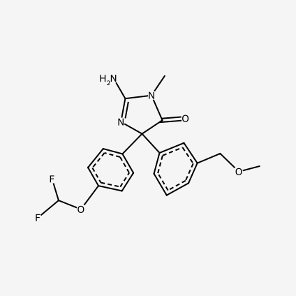 COCc1cccc(C2(c3ccc(OC(F)F)cc3)N=C(N)N(C)C2=O)c1